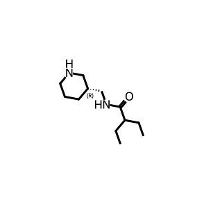 CCC(CC)C(=O)NC[C@@H]1CCCNC1